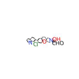 O=C[C@H](O)N1CCC2(CCc3cc(-c4ccc5cccnc5c4Cl)ccc3O2)CC1